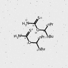 CCCCC(CCC)OC(N)=S.CCCCC(CCC)OC(N)=S